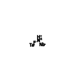 [F-].[NH4+].[Nb].[Ta]